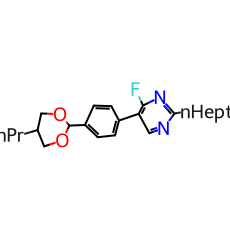 CCCCCCCc1ncc(-c2ccc(C3OCC(CCC)CO3)cc2)c(F)n1